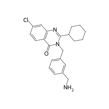 NCc1cccc(Cn2c(C3CCCCC3)nc3cc(Cl)ccc3c2=O)c1